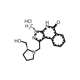 Cl.Cn1nc(CN2CCC[C@H]2CO)c2c3ccccc3c(=O)[nH]c21